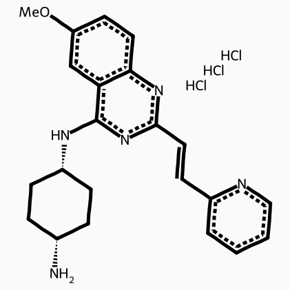 COc1ccc2nc(C=Cc3ccccn3)nc(N[C@H]3CC[C@@H](N)CC3)c2c1.Cl.Cl.Cl